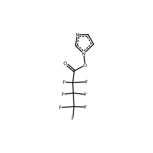 O=C(On1ccnc1)C(F)(F)C(F)(F)C(F)(F)F